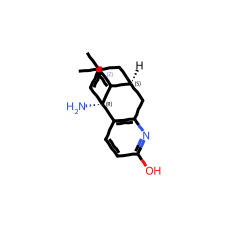 C/C=C1/[C@H]2CC(C)=C[C@]1(N)c1ccc(O)nc1C2